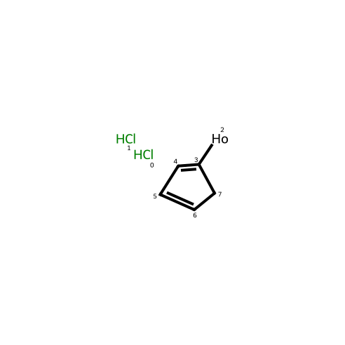 Cl.Cl.[Ho][C]1=CC=CC1